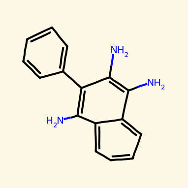 Nc1c(-c2ccccc2)c(N)c2ccccc2c1N